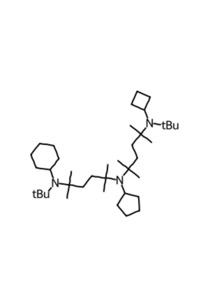 CC(C)(C)N(C1CCCCC1)C(C)(C)CCC(C)(C)N(C1CCCC1)C(C)(C)CCC(C)(C)N(C1CCC1)C(C)(C)C